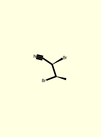 C[C@@H](Br)[C@H](Br)C#N